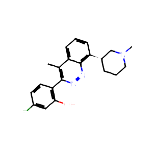 Cc1c(-c2ccc(F)cc2O)nnc2c([C@@H]3CCCN(C)C3)cccc12